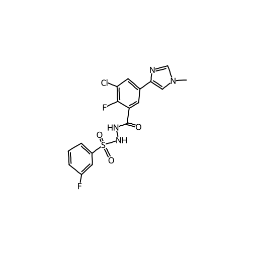 Cn1cnc(-c2cc(Cl)c(F)c(C(=O)NNS(=O)(=O)c3cccc(F)c3)c2)c1